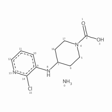 N.O=C(O)N1CCC(Nc2cccnc2Cl)CC1